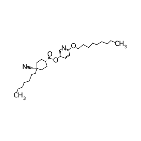 CCCCCCCCCOc1ccc(OC(=O)[C@H]2CC[C@@](C#N)(CCCCCCC)CC2)cn1